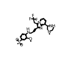 COc1cc(S(C)(=O)=O)ccc1NCC#Cc1nc2c(C3CN(C)CCN3)cccn2c1CC(F)(F)F